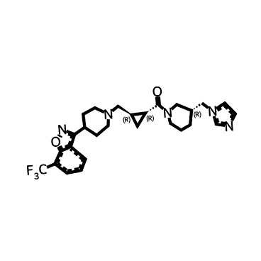 O=C([C@@H]1C[C@H]1CN1CCC(c2noc3c(C(F)(F)F)cccc23)CC1)N1CCC[C@@H](Cn2ccnc2)C1